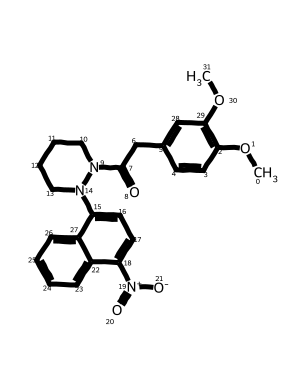 COc1ccc(CC(=O)N2CCCCN2c2ccc([N+](=O)[O-])c3ccccc23)cc1OC